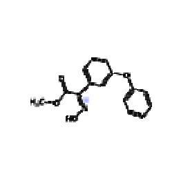 COC(=O)/C(=N\O)c1cccc(Oc2ccccc2)c1